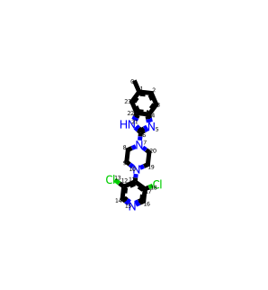 Cc1ccc2nc(N3CCN(c4c(Cl)cncc4Cl)CC3)[nH]c2c1